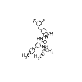 COC[C@H](C)Nc1cc(N2CCN(C)CC2)ccc1C(=O)Nc1n[nH]c2ccc(Cc3cc(F)cc(F)c3)cc12